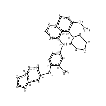 COc1ccc2ncnc(Nc3ccc(Oc4cc5ncnn5cn4)c(C)c3)c2c1N1CCOCC1